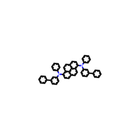 c1ccc(-c2cccc(N(c3ccccc3)c3ccc4ccc5c(N(c6ccccc6)c6cccc(-c7ccccc7)c6)ccc6ccc3c4c65)c2)cc1